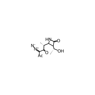 CC(=O)C(=[N+]=[N-])C(=O)[C@H](C)C1NC(=O)C1[C@@H](C)O